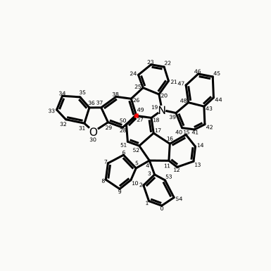 c1ccc(C2(c3ccccc3)c3ccccc3-c3c(N(c4ccccc4-c4ccc5oc6ccccc6c5c4)c4cccc5ccccc45)cccc32)cc1